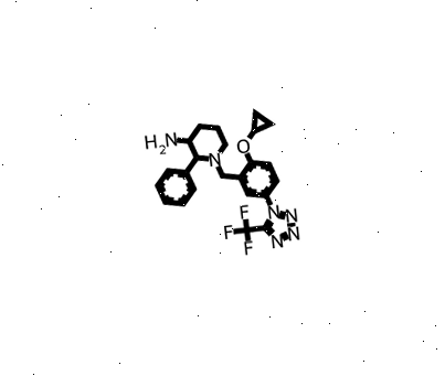 NC1CCCN(Cc2cc(-n3nnnc3C(F)(F)F)ccc2OC2CC2)C1c1ccccc1